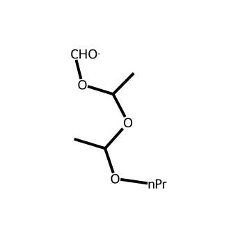 CCCOC(C)OC(C)O[C]=O